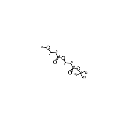 COCCC(=O)OCCC(=O)OC(C)(C)C